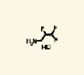 Cl.NCC(F)=C(F)F